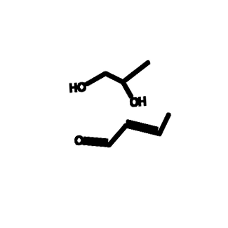 CC(O)CO.CC=CC=O